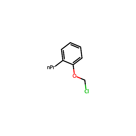 CCCc1ccccc1OCCl